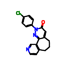 O=c1cc2c(nn1-c1ccc(Cl)cc1)-c1cnccc1CCC2